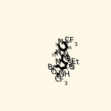 CCS(=O)(=O)c1cc(NC(=O)C(F)(F)F)c(Br)nc1-c1nc2cc(C(F)(F)F)ncc2n1C